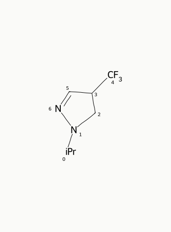 CC(C)N1CC(C(F)(F)F)C=N1